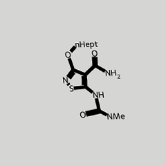 CCCCCCCOc1nsc(NC(=O)NC)c1C(N)=O